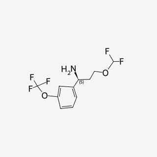 N[C@@H](CCOC(F)F)c1cccc(OC(F)(F)F)c1